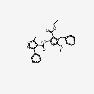 CCOC(=O)c1c(NC(=O)c2c(-c3ccccc3)noc2C)nc(SC)n1Cc1ccccc1